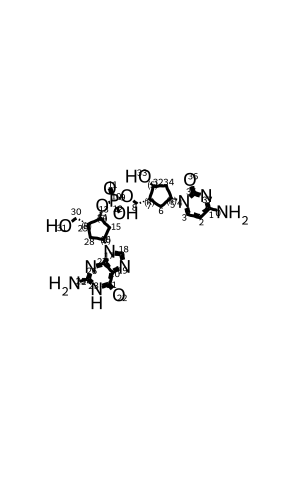 Nc1ccn([C@@H]2C[C@H](COP(=O)(O)O[C@H]3C[C@H](n4cnc5c(=O)[nH]c(N)nc54)C[C@@H]3CO)[C@@H](O)C2)c(=O)n1